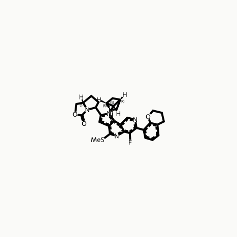 CSc1nc2c(F)c(-c3cccc4c3OCCC4)ncc2c2c1cc(C1CC[C@H]3COC(=O)N13)n2[C@H]1[C@H]2CN[C@@H]1C2